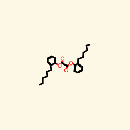 CCCCCCc1ccccc1OC(=O)C(=O)Oc1ccccc1CCCCCC